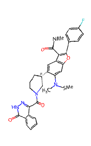 CNC(=O)c1c(-c2ccc(F)cc2)oc2cc(N(C)SC)c([C@H]3CCCN(C(=O)c4n[nH]c(=O)c5ccccc45)C3)cc12